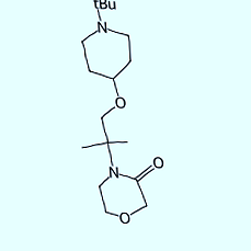 CC(C)(C)N1CCC(OCC(C)(C)N2CCOCC2=O)CC1